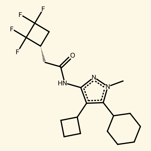 Cn1nc(NC(=O)C[C@H]2CC(F)(F)C2(F)F)c(C2CCC2)c1C1CCCCC1